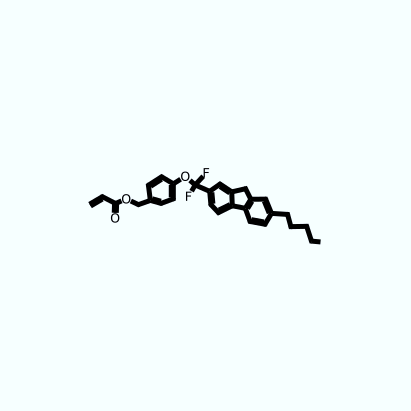 C=CC(=O)OCc1ccc(OC(F)(F)c2ccc3c(c2)Cc2cc(CCCCC)ccc2-3)cc1